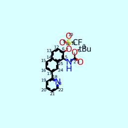 CC(C)(C)OC(=O)Nc1c(OS(=O)(=O)C(F)(F)F)ccc2ccc(-c3ccccn3)cc12